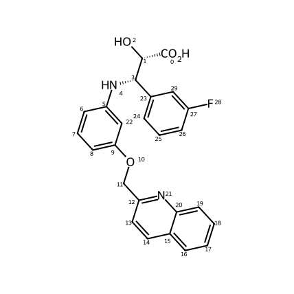 O=C(O)[C@@H](O)[C@@H](Nc1cccc(OCc2ccc3ccccc3n2)c1)c1cccc(F)c1